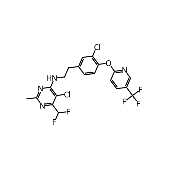 Cc1nc(NCCc2ccc(Oc3ccc(C(F)(F)F)cn3)c(Cl)c2)c(Cl)c(C(F)F)n1